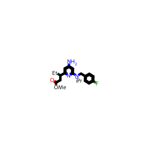 CCC(CC(=O)OC)c1cc(N)cc(N(Cc2ccc(F)cc2)C(C)C)n1